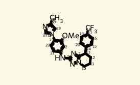 COc1cc(Nc2nc3n(n2)CCCC3c2ccc(C(F)(F)F)cc2)ccc1-n1cnc(C)c1